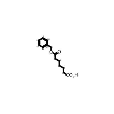 O=C(O)CCCCCC(=O)OCc1ccccc1